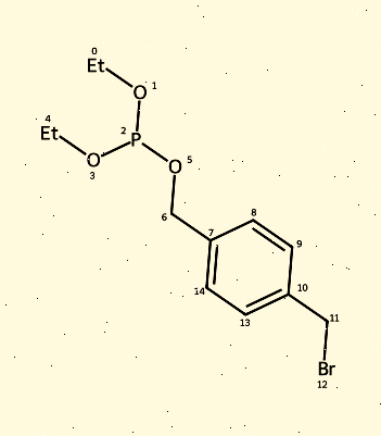 CCOP(OCC)OCc1ccc(CBr)cc1